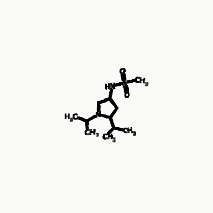 CC(C)C1CC(NS(C)(=O)=O)CN1C(C)C